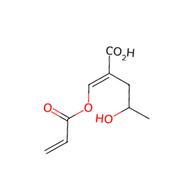 C=CC(=O)OC=C(CC(C)O)C(=O)O